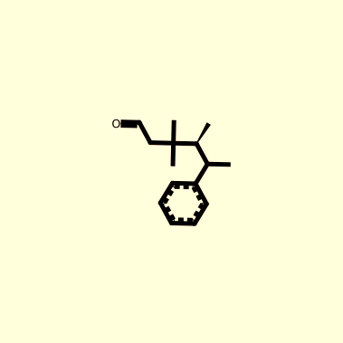 CC(c1ccccc1)[C@H](C)C(C)(C)CC=O